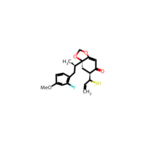 C=CC(S)[C@H]1C[C@]2([C@H](C)Cc3ccc(OC)cc3F)OCOC2=CC1=O